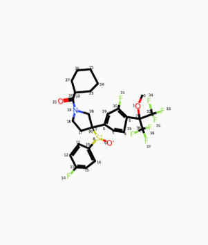 COC(c1ccc([C@]2([S+]([O-])c3ccc(F)cc3)CCN(C(=O)C3CCCCC3)C2)cc1F)(C(F)(F)F)C(F)(F)F